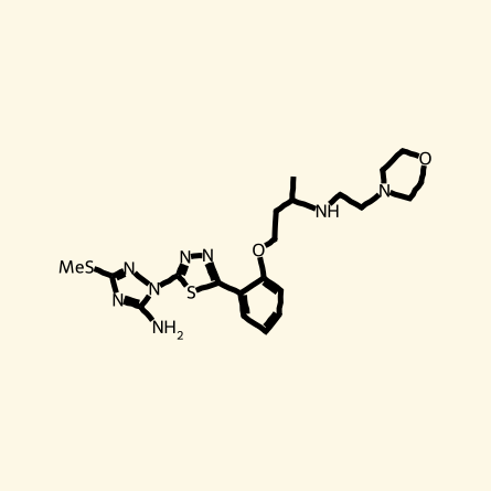 CSc1nc(N)n(-c2nnc(-c3ccccc3OCCC(C)NCCN3CCOCC3)s2)n1